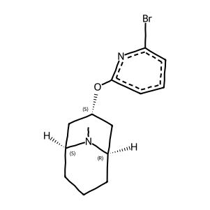 CN1[C@@H]2CCC[C@H]1C[C@H](Oc1cccc(Br)n1)C2